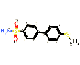 CSc1ccc(-c2ccc(S(N)(=O)=O)cc2)cc1